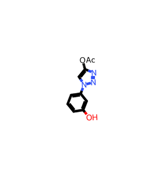 CC(=O)Oc1cn(-c2cccc(O)c2)nn1